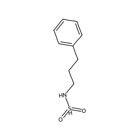 O=[SH](=O)NCCCc1ccccc1